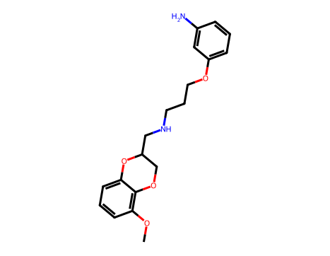 COc1cccc2c1OCC(CNCCCOc1cccc(N)c1)O2